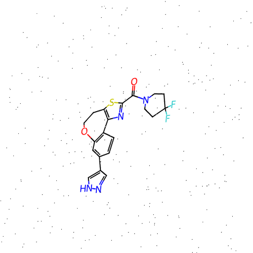 O=C(c1nc2c(s1)CCOc1cc(-c3cn[nH]c3)ccc1-2)N1CCC(F)(F)CC1